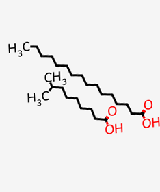 CC(C)CCCCCCC(=O)O.CCCCCCCCCCCCCCCC(=O)O